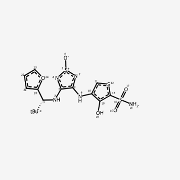 CC(C)(C)[C@@H](Nc1n[s+]([O-])nc1Nc1csc(S(N)(=O)=O)c1O)c1ccco1